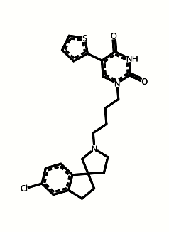 O=c1[nH]c(=O)n(CCCCN2CCC3(CCc4cc(Cl)ccc43)C2)cc1-c1cccs1